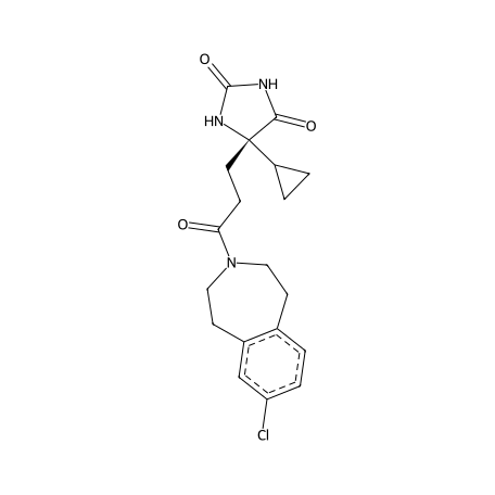 O=C1NC(=O)[C@](CCC(=O)N2CCc3ccc(Cl)cc3CC2)(C2CC2)N1